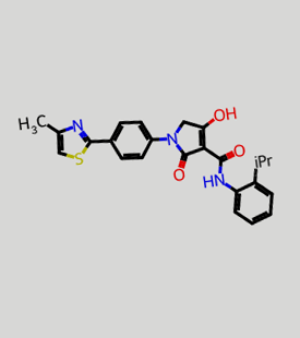 Cc1csc(-c2ccc(N3CC(O)=C(C(=O)Nc4ccccc4C(C)C)C3=O)cc2)n1